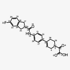 O=C(O)C(=O)N1CC=C(c2ccc(NC(=O)N3Cc4ccc(F)cc4C3)cc2)CC1